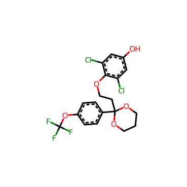 Oc1cc(Cl)c(OCCC2(c3ccc(OC(F)(F)F)cc3)OCCCO2)c(Cl)c1